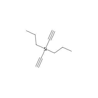 C#C[Si](C#C)(CCC)CCC